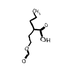 CCCC(CCOC=O)C(=O)O